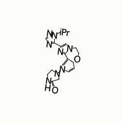 CC(C)n1ncnc1-c1cn2c(n1)C1=CN(N3CCNC(=O)C3)C=CC1OCC2